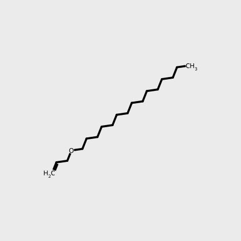 C=CCOCCCCCCCCCCCCCCC